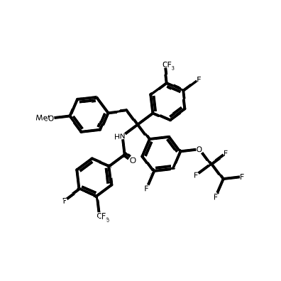 COc1ccc(CC(NC(=O)c2ccc(F)c(C(F)(F)F)c2)(c2cc(F)cc(OC(F)(F)C(F)F)c2)c2ccc(F)c(C(F)(F)F)c2)cc1